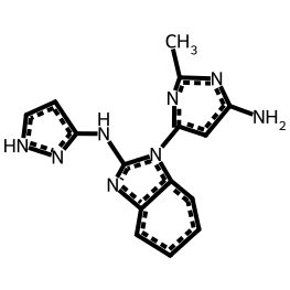 Cc1nc(N)cc(-n2c(Nc3cc[nH]n3)nc3ccccc32)n1